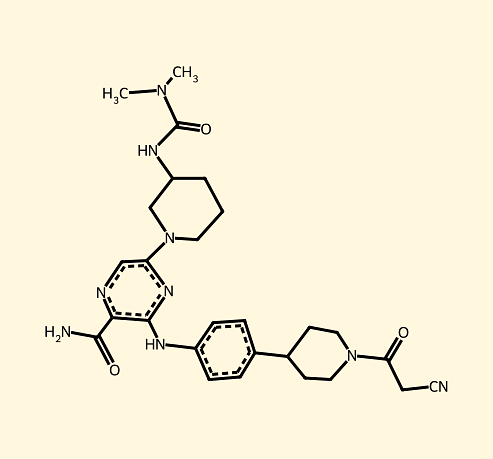 CN(C)C(=O)NC1CCCN(c2cnc(C(N)=O)c(Nc3ccc(C4CCN(C(=O)CC#N)CC4)cc3)n2)C1